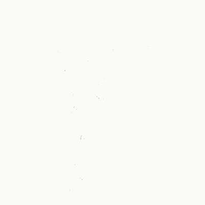 COc1ccc(-c2nnc(C(=O)NCCN(C)C)nc2-c2ccc(OC)cc2)cc1